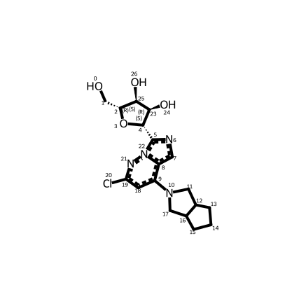 OC[C@H]1O[C@@H](c2ncc3c(N4CC5CCCC5C4)cc(Cl)nn23)[C@H](O)[C@@H]1O